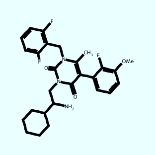 COc1cccc(-c2c(C)n(Cc3c(F)cccc3F)c(=O)n(CC(N)C3CCCCC3)c2=O)c1F